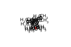 Cc1cc(-c2c(Nc3ccc4c(c3)C(C)(C)CCC4(C)C)ccc3c2sc2cc4c(cc23)C(C)(C)CCC4(C)C)c2c(c1)N(c1cc3c(cc1C)C(C)(C)CCC3(C)C)c1sc3cc4c(cc3c1B2)C(C)(C)CCC4(C)C